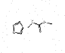 CNC(=O)OC.c1ccoc1